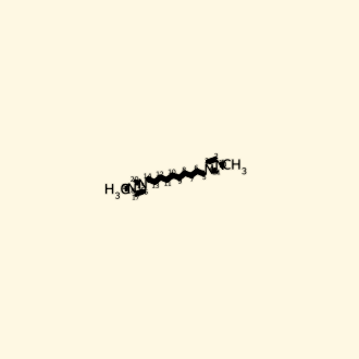 CN1CCN(CCCCCCCCCCN2CCN(C)C2)C1